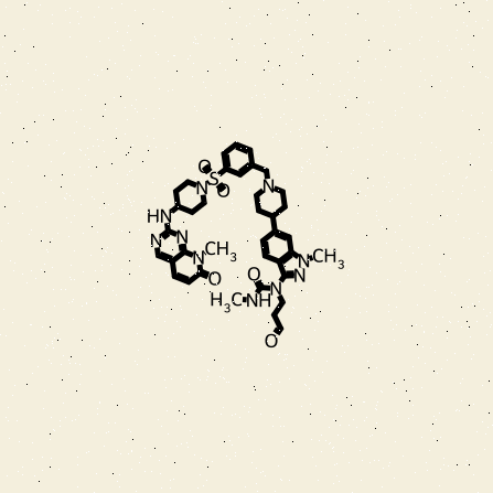 CNC(=O)N(CCC=O)c1nn(C)c2cc(C3CCN(Cc4cccc(S(=O)(=O)N5CCC(Nc6ncc7ccc(=O)n(C)c7n6)CC5)c4)CC3)ccc12